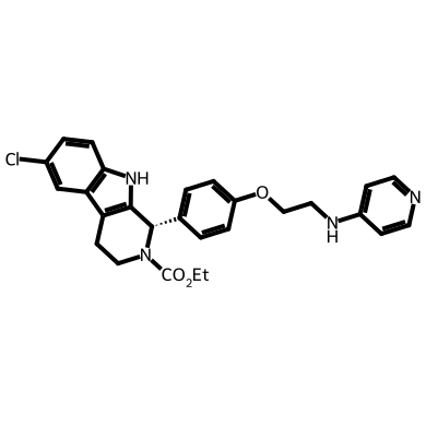 CCOC(=O)N1CCc2c([nH]c3ccc(Cl)cc23)[C@@H]1c1ccc(OCCNc2ccncc2)cc1